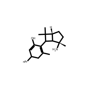 CCCC1C=C(O)C(C2C3[C@@H](CC[C@]3(C)N)C2(C)C)=C(C)C1